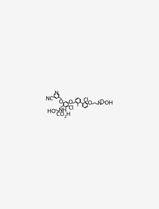 Cc1c(COc2cc(OCc3cncc(C#N)c3)c(CNC(CO)C(=O)O)cc2Cl)cccc1-c1cccc(OCCCN2CCC(O)C2)c1Cl